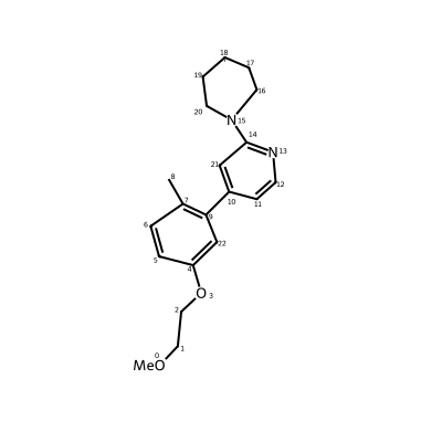 COCCOc1ccc(C)c(-c2ccnc(N3CC[CH]CC3)c2)c1